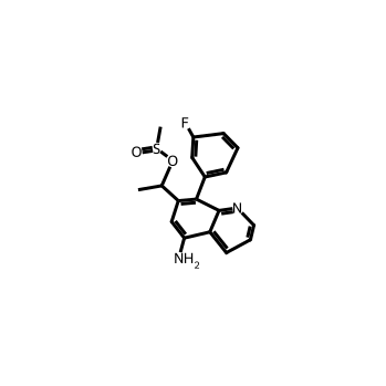 CC(OS(C)=O)c1cc(N)c2cccnc2c1-c1cccc(F)c1